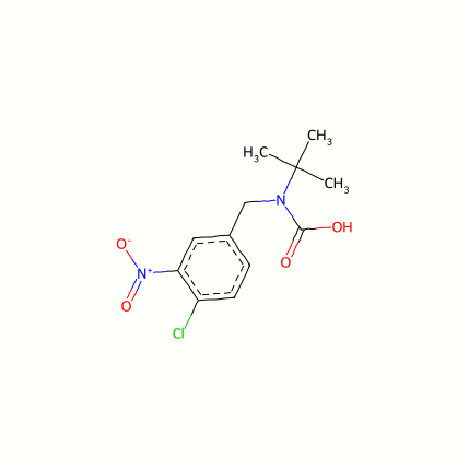 CC(C)(C)N(Cc1ccc(Cl)c([N+](=O)[O-])c1)C(=O)O